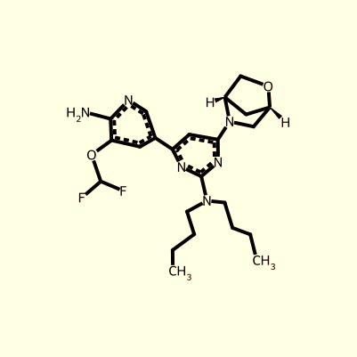 CCCCN(CCCC)c1nc(-c2cnc(N)c(OC(F)F)c2)cc(N2C[C@@H]3C[C@H]2CO3)n1